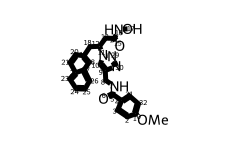 COc1ccc(C(=O)NCc2cn(C(CC(=O)NO)Cc3ccc4ccccc4c3)nn2)cc1